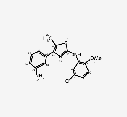 COc1ccc(Cl)cc1Nc1nc(-c2cccc(N)c2)c(C)s1